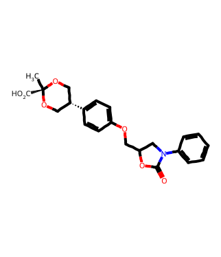 C[C@]1(C(=O)O)OC[C@H](c2ccc(OCC3CN(c4ccccc4)C(=O)O3)cc2)CO1